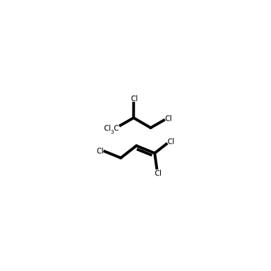 ClCC(Cl)C(Cl)(Cl)Cl.ClCC=C(Cl)Cl